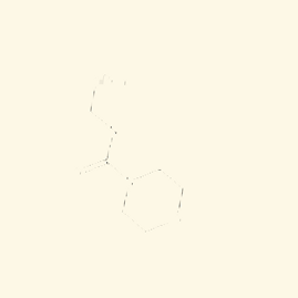 CCCCCC[N]C(=O)N1CCOCC1